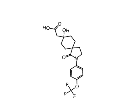 O=C(O)CC1(O)CCC2(CCN(c3ccc(OC(F)(F)F)cc3)C2=O)CC1